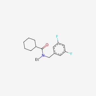 CCN(Cc1cc(F)cc(F)c1)C(=O)C1CCCCC1